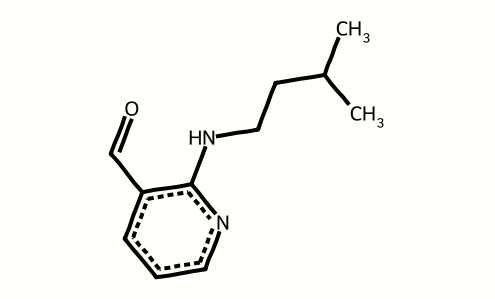 CC(C)CCNc1ncccc1C=O